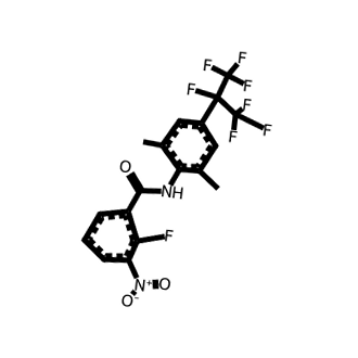 Cc1cc(C(F)(C(F)(F)F)C(F)(F)F)cc(C)c1NC(=O)c1cccc([N+](=O)[O-])c1F